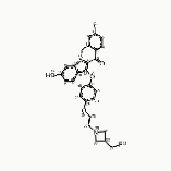 Cc1cc(F)ccc1C(=O)c1sc2cc(O)ccc2c1Oc1ccc(OCCN2CC(CF)C2)cc1